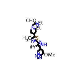 CCN(CC)C(C=O)CN1CCC(c2sc(-c3n[nH]c(-c4cc(OC)c5ncnn5c4)c3C(C)C)nc2C)CC1